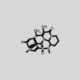 CN(C1CCCN2C(=O)C(O)=C(C(N)=O)N(Cc3ccc(F)cc3)C12)S(=O)(=O)c1cn(C)cn1